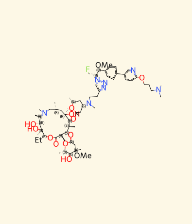 CC[C@H]1OC(=O)[C@H](C)[C@@H](O[C@H]2C[C@@](C)(OC)[C@@H](O)[C@H](C)O2)[C@H](C)[C@@H](O[C@H]2C[C@@H](N(C)CCc3cn([C@H](CF)[C@H](OC)c4ccc(-c5ccc(OCCCN(C)C)nc5)cc4)nn3)C[C@@H](C)O2)[C@](C)(O)C[C@@H](C)CN(C)[C@H](C)[C@@H](O)[C@]1(C)O